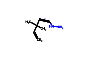 C=CC(C)(C)/C=C\NN